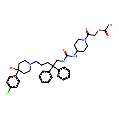 CC(=O)OCC(=O)N1CCC(NC(=O)NCC(CCCN2CCC(O)(c3ccc(Cl)cc3)CC2)(c2ccccc2)c2ccccc2)CC1